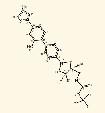 CC(C)(C)OC(=O)N1C[C@@H]2CN(c3ccc(-c4ccc(-c5cn[nH]c5)cc4O)nn3)C[C@@H]2C1